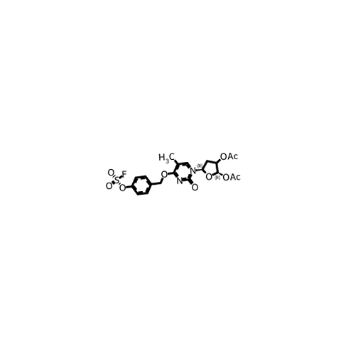 CC(=O)OC1C[C@H](n2cc(C)c(OCc3ccc(OS(=O)(=O)F)cc3)nc2=O)O[C@@H]1OC(C)=O